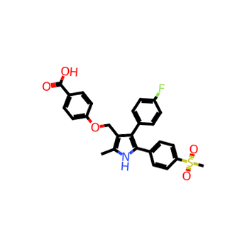 Cc1[nH]c(-c2ccc(S(C)(=O)=O)cc2)c(-c2ccc(F)cc2)c1COc1ccc(C(=O)O)cc1